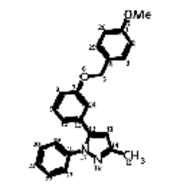 COc1ccc(COc2cccc(-c3cc(C)nn3-c3ccccc3)c2)cc1